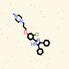 CN1CCN(CCCOc2ccc(-c3nc(-c4ccccc4)c(-c4ccccc4)[nH]3)c(Cl)c2)CC1